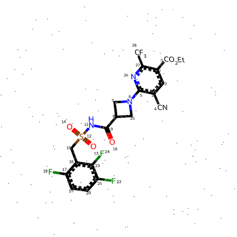 CCOC(=O)c1cc(C#N)c(N2CC(C(=O)NS(=O)(=O)Cc3c(F)ccc(F)c3F)C2)nc1C(F)(F)F